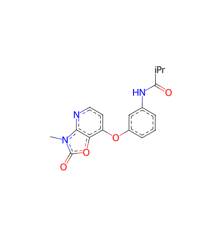 CC(C)C(=O)Nc1cccc(Oc2ccnc3c2oc(=O)n3C)c1